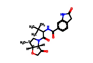 C[C@@H]1CN(C(=O)C(NC(=O)c2ccc3c(c2)NC(=O)C3)C(C)(C)C)[C@@H]2C(=O)CO[C@H]12